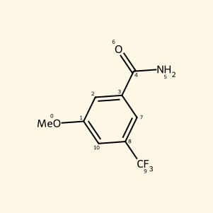 COc1cc(C(N)=O)cc(C(F)(F)F)c1